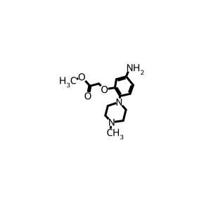 COC(=O)COc1cc(N)ccc1N1CCN(C)CC1